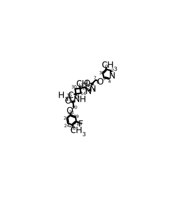 Cc1cncc(OCc2nnc(C3(C)CC(C)(NC(=O)COc4ccc(C)c(F)c4)C3)o2)c1